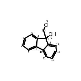 OC1([CH]Cl)c2ccccc2-c2ccccc21